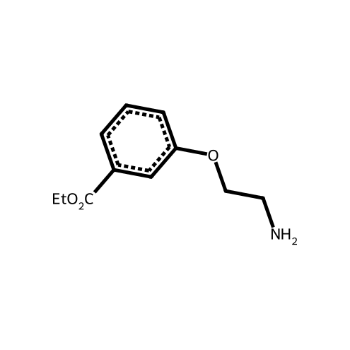 CCOC(=O)c1cccc(OCCN)c1